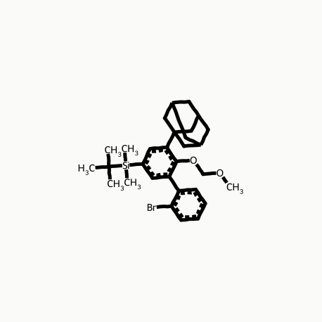 COCOc1c(-c2ccccc2Br)cc([Si](C)(C)C(C)(C)C)cc1C12CC3CC(CC(C3)C1)C2